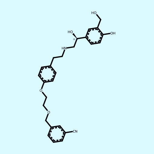 N#Cc1cccc(COCCOc2ccc(CCNC[C@@H](O)c3ccc(O)c(CO)c3)cc2)c1